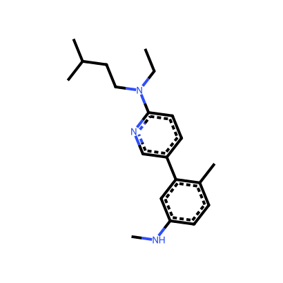 CCN(CCC(C)C)c1ccc(-c2cc(NC)ccc2C)cn1